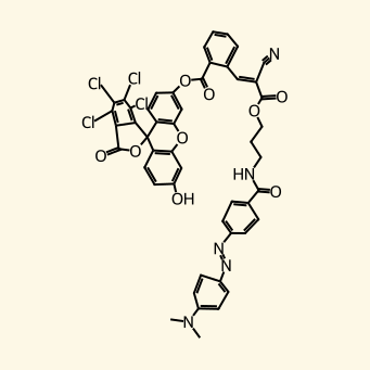 CN(C)c1ccc(/N=N/c2ccc(C(=O)NCCCOC(=O)/C(C#N)=C/c3ccccc3C(=O)Oc3ccc4c(c3)Oc3cc(O)ccc3C43OC(=O)c4c(Cl)c(Cl)c(Cl)c(Cl)c43)cc2)cc1